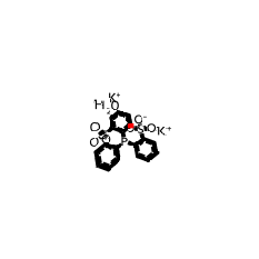 O.O=S(=O)([O-])c1ccccc1P(c1ccccc1)c1ccccc1S(=O)(=O)[O-].[K+].[K+]